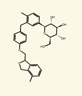 Cc1ccc([C@@H]2O[C@H](CO)[C@@H](O)[C@H](O)[C@H]2O)cc1Cc1ccc(OCC2OCc3c(C)cccc32)cc1